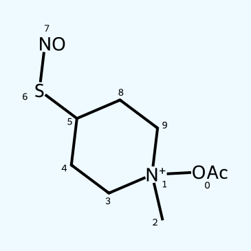 CC(=O)O[N+]1(C)CCC(SN=O)CC1